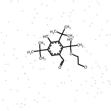 [CH2]C(O)(OCCCl)c1c(C=O)cc(C(C)(C)C)c(O)c1C(C)(C)C